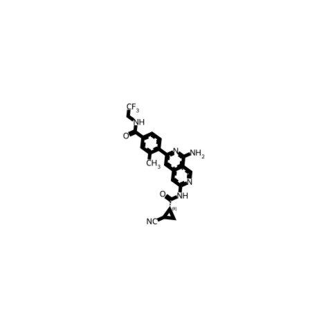 Cc1cc(C(=O)NCC(F)(F)F)ccc1-c1cc2cc(NC(=O)[C@@H]3CC3C#N)ncc2c(N)n1